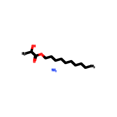 CCCCCCCCCCOC(=O)C(C)O.N